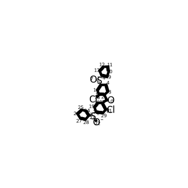 O=C(c1ccc([S+]([O-])c2ccccc2)cc1Cl)c1ccc([S+]([O-])c2ccccc2)cc1Cl